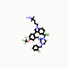 CC(C)(N)CCCn1cc(-c2ccc(OC(F)(F)F)cc2CN)c2cc(CN3CCN(Cc4ccccc4Cl)CC3)ccc21.Cl.Cl